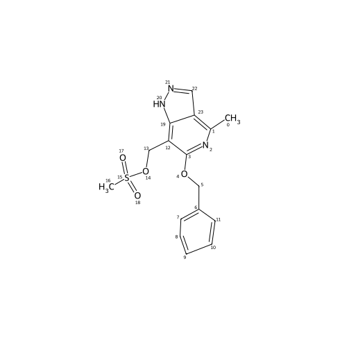 Cc1nc(OCc2ccccc2)c(COS(C)(=O)=O)c2[nH]ncc12